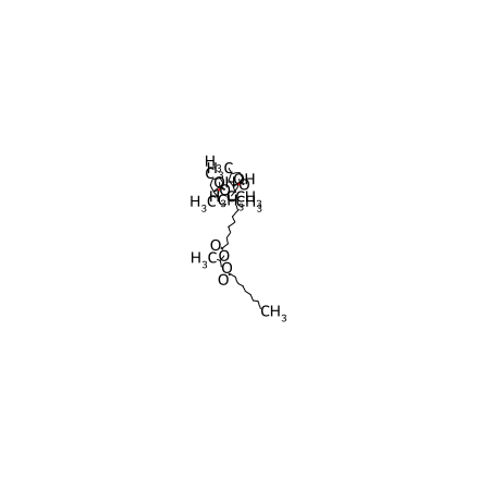 CC1CCC2C(C)(C)C2(C(=O)O)C1.CC1CCC2C(C)(C)C2(C(=O)O)C1.CCCCCCCCCC(=O)OCC(C)OC(=O)CCCCCCCCC